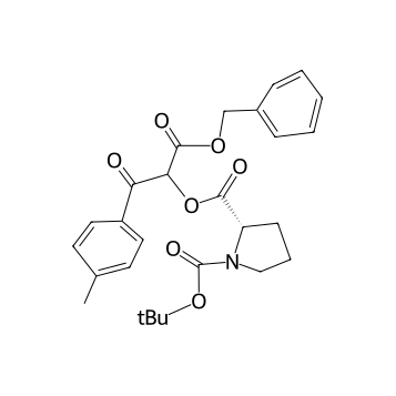 Cc1ccc(C(=O)C(OC(=O)[C@@H]2CCCN2C(=O)OC(C)(C)C)C(=O)OCc2ccccc2)cc1